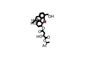 CC(=O)[C@H](C)OC(=O)[C@@H](O)CC(=O)OC1=CC[C@@]2(O)[C@H]3Cc4ccc(CO)c5c4[C@@]2(CCN3C)[C@H]1O5